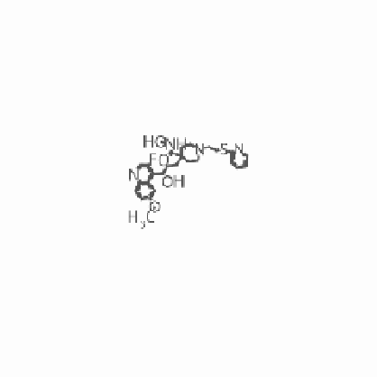 COc1ccc2ncc(F)c([C@H](O)CCC3(C(=O)NO)CCN(CCSc4ccccn4)CC3)c2c1